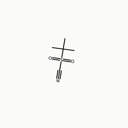 CC(C)(C)S(=O)(=O)C#N